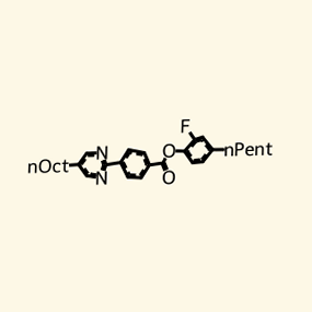 CCCCCCCCc1cnc(-c2ccc(C(=O)Oc3ccc(CCCCC)cc3F)cc2)nc1